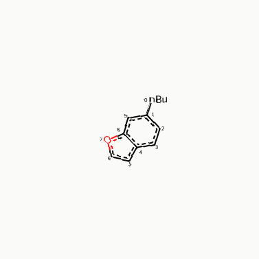 [CH2]CCCc1ccc2ccoc2c1